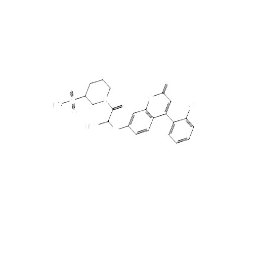 CC(Oc1ccc2c(-c3ccccc3Cl)cc(=O)oc2c1)C(=O)N1CCCC(S(N)(=O)=O)C1